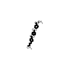 CCCCCC1CCC(C(=O)Oc2ccc(C(=O)OC3CCC(C(=O)OC)CC3)cc2)CC1